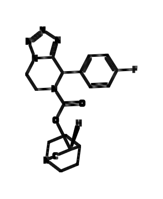 O=C(O[C@H]1CN2CCC1CC2)N1CCn2nnnc2C1c1ccc(F)cc1